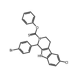 S=C(Oc1ccccc1)N1CCc2c([nH]c3ccc(Cl)cc23)C1c1ccc(Br)cc1